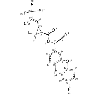 CC1(C)[C@H](C(=O)O[C@@H](C#N)c2ccc(F)c(Oc3ccc(F)cc3)c2)[C@@H]1/C=C(\Cl)C(F)(F)F